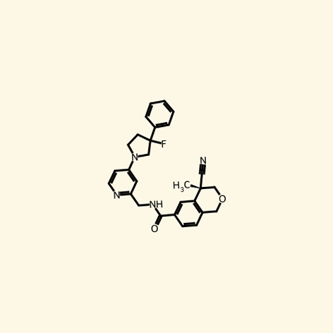 C[C@@]1(C#N)COCc2ccc(C(=O)NCc3cc(N4CCC(F)(c5ccccc5)C4)ccn3)cc21